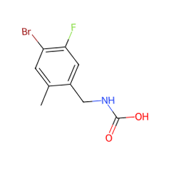 Cc1cc(Br)c(F)cc1CNC(=O)O